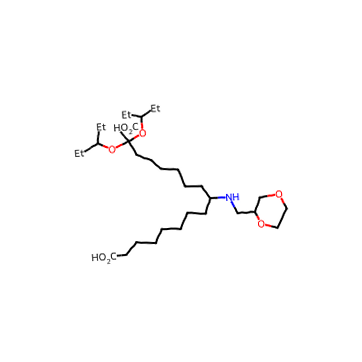 CCC(CC)OC(CCCCCCC(CCCCCCCC(=O)O)NCC1COCCO1)(OC(CC)CC)C(=O)O